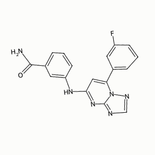 NC(=O)c1cccc(Nc2cc(-c3cccc(F)c3)n3ncnc3n2)c1